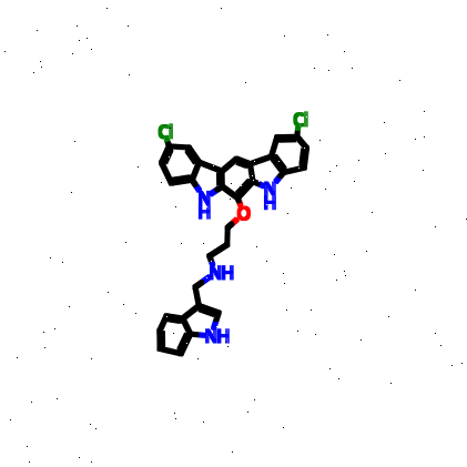 Clc1ccc2[nH]c3c(OCCCNCc4c[nH]c5ccccc45)c4[nH]c5ccc(Cl)cc5c4cc3c2c1